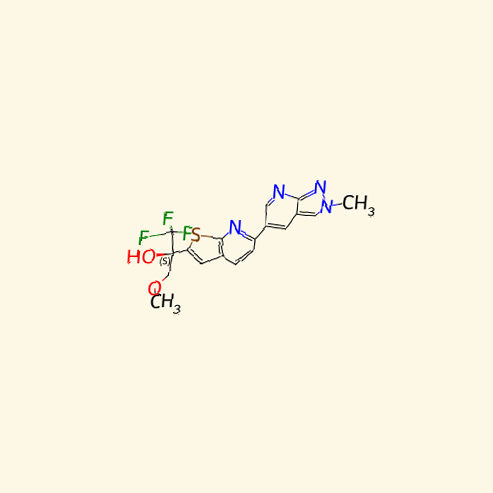 COC[C@@](O)(c1cc2ccc(-c3cnc4nn(C)cc4c3)nc2s1)C(F)(F)F